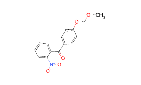 COCOc1ccc(C(=O)c2ccccc2[N+](=O)[O-])cc1